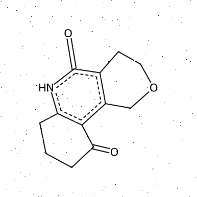 O=C1CCCc2[nH]c(=O)c3c(c21)COCC3